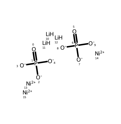 O=P([O-])([O-])[O-].O=P([O-])([O-])[O-].[LiH].[LiH].[LiH].[Ni+2].[Ni+2].[Ni+2]